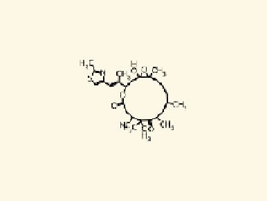 CC(=Cc1csc(C)n1)C1CC2(O)OC2(C)CCCC(C)CC(C)C(=O)C(C)(C)C(C#N)CC(=O)O1